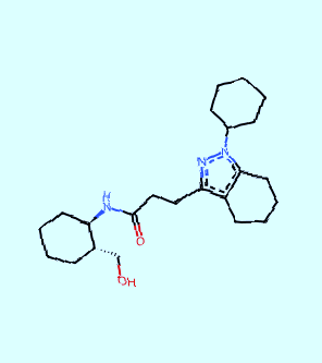 O=C(CCc1nn(C2CCCCC2)c2c1CCCC2)N[C@@H]1CCCC[C@H]1CO